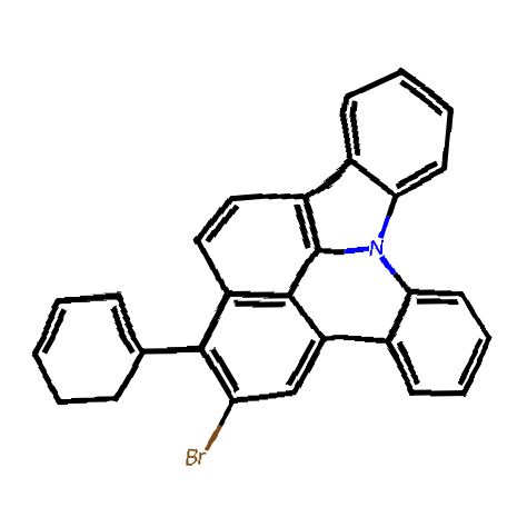 Brc1cc2c3ccccc3n3c4ccccc4c4ccc(c1C1=CC=CCC1)c2c43